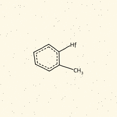 Cc1cccc[c]1[Hf]